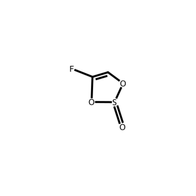 O=S1OC=C(F)O1